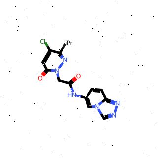 CC(C)c1nn(CC(=O)Nc2ccc3nncn3c2)c(=O)cc1Cl